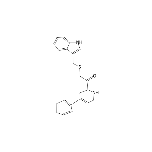 O=C(CSCc1c[nH]c2ccccc12)C1CC(c2ccccc2)=CCN1